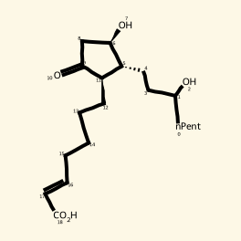 CCCCCC(O)CC[C@H]1[C@H](O)CC(=O)[C@@H]1CCCCC=CC(=O)O